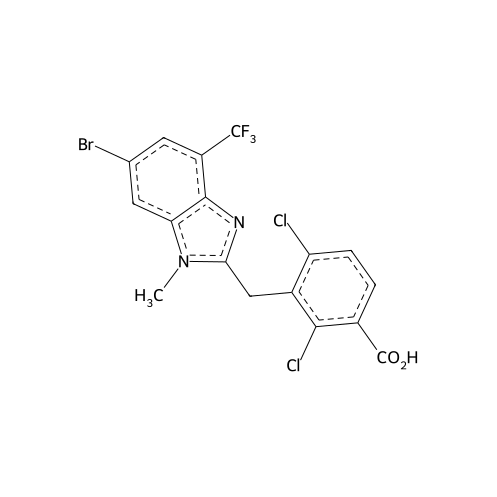 Cn1c(Cc2c(Cl)ccc(C(=O)O)c2Cl)nc2c(C(F)(F)F)cc(Br)cc21